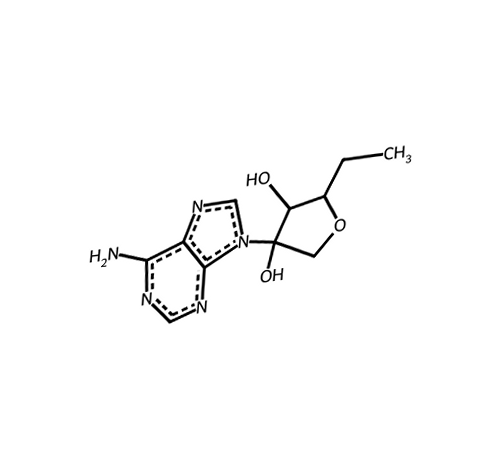 CCC1OCC(O)(n2cnc3c(N)ncnc32)C1O